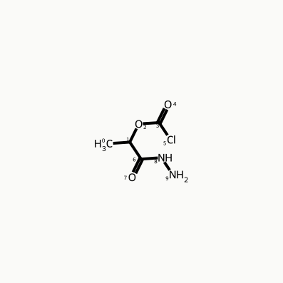 CC(OC(=O)Cl)C(=O)NN